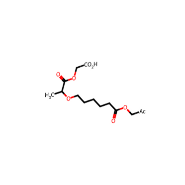 CC(=O)COC(=O)CCCCCOC(C)C(=O)OCC(=O)O